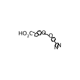 O=C(O)C[C@@H]1CCc2cc(OCCCOc3ccc(-c4cncnc4)cc3)ccc21